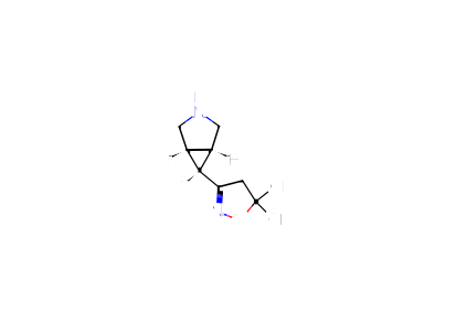 CC1(C)CC([C@]2(C)[C@@H]3CNC[C@@H]32)=NO1